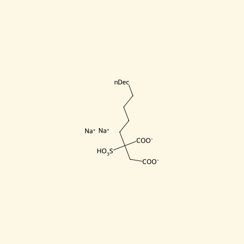 CCCCCCCCCCCCCCC(CC(=O)[O-])(C(=O)[O-])S(=O)(=O)O.[Na+].[Na+]